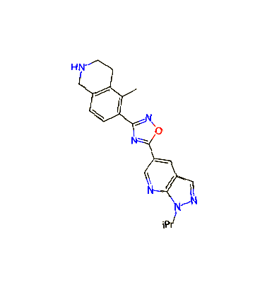 Cc1c(-c2noc(-c3cnc4c(cnn4C(C)C)c3)n2)ccc2c1CCNC2